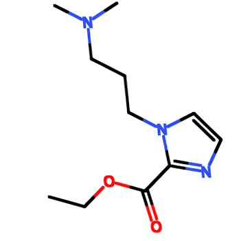 CCOC(=O)c1nccn1CCCN(C)C